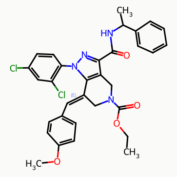 CCOC(=O)N1C/C(=C\c2ccc(OC)cc2)c2c(c(C(=O)NC(C)c3ccccc3)nn2-c2ccc(Cl)cc2Cl)C1